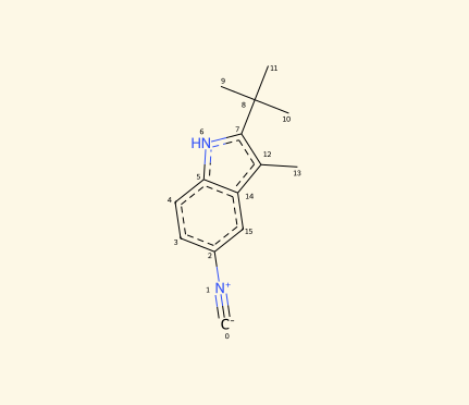 [C-]#[N+]c1ccc2[nH]c(C(C)(C)C)c(C)c2c1